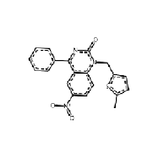 Cc1ccc(Cn2c(=O)nc(-c3ccccc3)c3cc([N+](=O)[O-])ccc32)s1